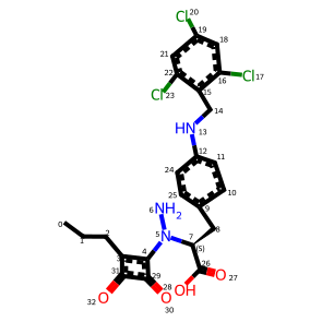 CCCc1c(N(N)[C@@H](Cc2ccc(NCc3c(Cl)cc(Cl)cc3Cl)cc2)C(=O)O)c(=O)c1=O